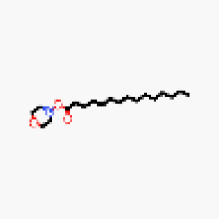 CCCCCCCCCCCCCCC(=O)ON1CCOCC1